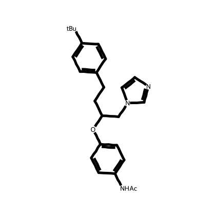 CC(=O)Nc1ccc(OC(CCc2ccc(C(C)(C)C)cc2)Cn2ccnc2)cc1